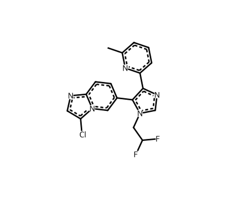 Cc1cccc(-c2ncn(CC(F)F)c2-c2ccc3ncc(Cl)n3c2)n1